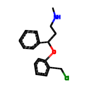 CNCCC(Oc1ccccc1CCl)c1ccccc1